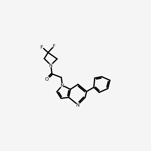 O=C(Cn1ccc2ncc(-c3ccccc3)cc21)N1CC(F)(F)C1